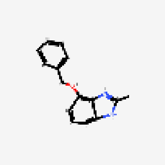 Cc1nc2c(OCc3ccccc3)cccc2[nH]1